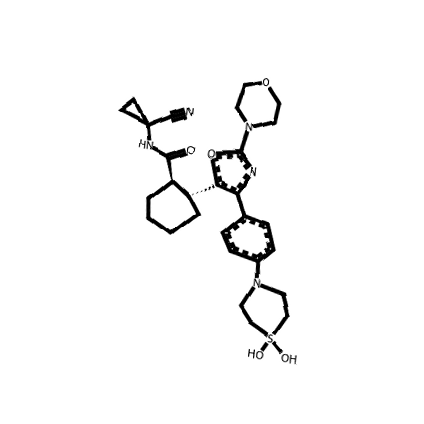 N#CC1(NC(=O)[C@@H]2CCCC[C@H]2c2oc(N3CCOCC3)nc2-c2ccc(N3CCS(O)(O)CC3)cc2)CC1